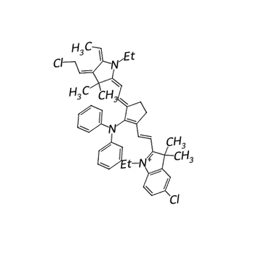 C/C=C1\C(=C/CCl)C(C)(C)/C(=C\C=C2/CCC(/C=C/C3=[N+](CC)c4ccc(Cl)cc4C3(C)C)=C2N(c2ccccc2)c2ccccc2)N1CC